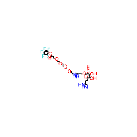 O=C(CCOCCOCCOCCOCCn1cc(CCO[C@H]2O[C@H](CCc3cnn[nH]3)[C@@H](O)[C@H](O)[C@@H]2O)nn1)Oc1c(F)c(F)c(F)c(F)c1F